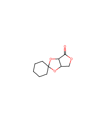 O=C1OCC2OC3(CCCCC3)OC12